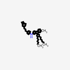 CCCCCCCCC1(CCCCCCCC)c2cc(C)ccc2-c2ccc(Nc3ccc(CCCc4ccc5c(c4)CC5)cc3)cc21